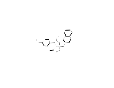 COc1ccc(CN2C(=O)NCC2(CCO)Cc2ccc3ccccc3c2)cc1